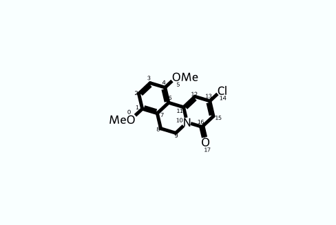 COc1ccc(OC)c2c1CCn1c-2cc(Cl)cc1=O